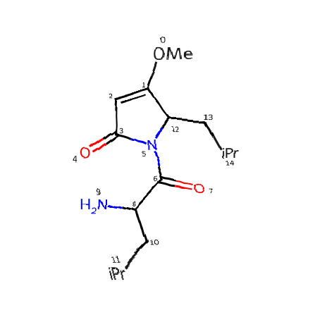 COC1=CC(=O)N(C(=O)C(N)CC(C)C)C1CC(C)C